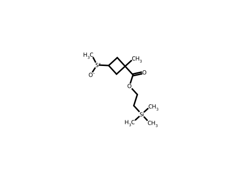 C[S+]([O-])C1CC(C)(C(=O)OCC[Si](C)(C)C)C1